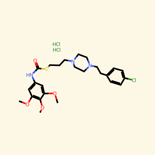 COc1cc(NC(=O)SCCCN2CCN(CCc3ccc(Cl)cc3)CC2)cc(OC)c1OC.Cl.Cl